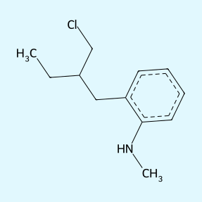 CCC(CCl)Cc1ccccc1NC